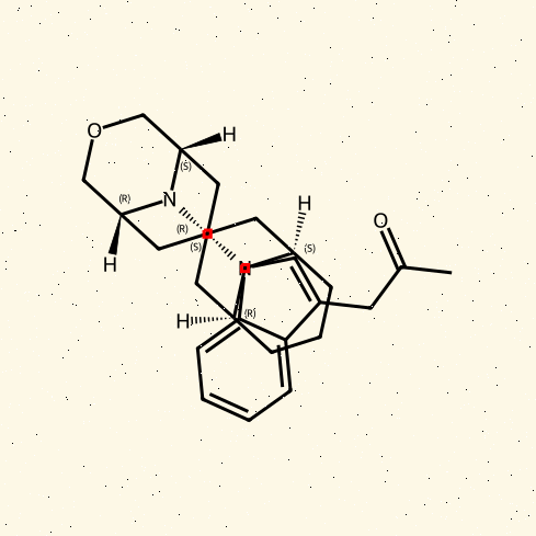 CC(=O)Cc1cn([C@H]2C[C@H]3COC[C@@H](C2)N3[C@H]2C[C@@H]3CCC[C@@H](C3)C2)c2ccccc12